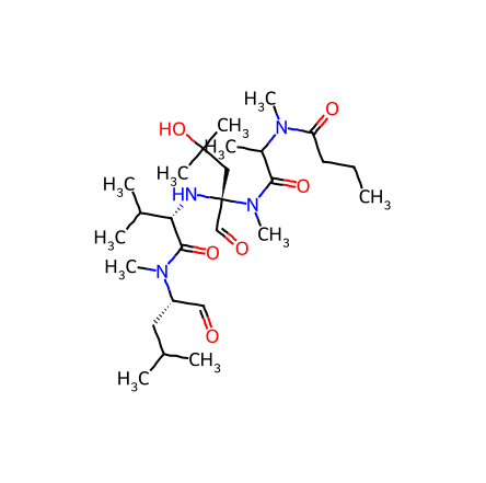 CCCC(=O)N(C)C(C)C(=O)N(C)[C@@](C=O)(CC(C)(C)O)N[C@H](C(=O)N(C)[C@H](C=O)CC(C)C)C(C)C